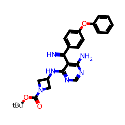 CC(C)(C)OC(=O)N1CC(Nc2ncnc(N)c2C(=N)c2ccc(Oc3ccccc3)cc2)C1